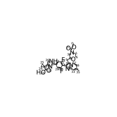 COC(=O)N1CCOC(Cc2c(-c3c(F)cc(-c4nc(C5(C(=O)O)CC5)c[nH]4)cc3F)nc3cc(C)ccn23)C1